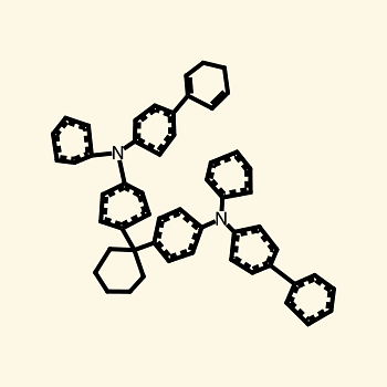 C1=CC(c2ccc(N(c3ccccc3)c3ccc(C4(c5ccc(N(c6ccccc6)c6ccc(-c7ccccc7)cc6)cc5)CCCCC4)cc3)cc2)=CCC1